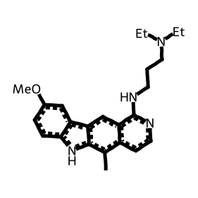 CCN(CC)CCCNc1nccc2c(C)c3[nH]c4ccc(OC)cc4c3cc12